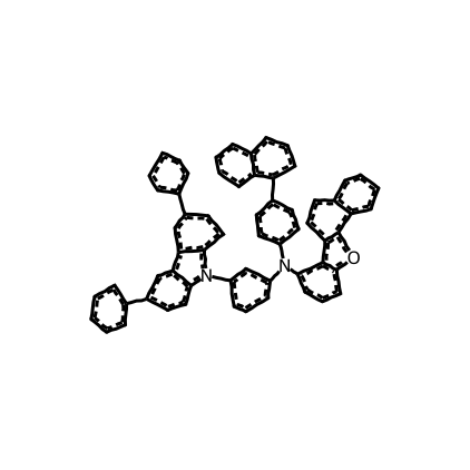 c1ccc(-c2ccc3c(c2)c2cc(-c4ccccc4)ccc2n3-c2cccc(N(c3ccc(-c4cccc5ccccc45)cc3)c3cccc4oc5c6ccccc6ccc5c34)c2)cc1